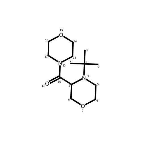 CC(C)(C)N1CCOCC1C(=O)N1CCOCC1